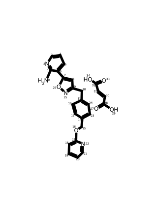 Nc1ncccc1-c1cc(Cc2ccc(COc3ccccn3)cc2)no1.O=C(O)C=CC(=O)O